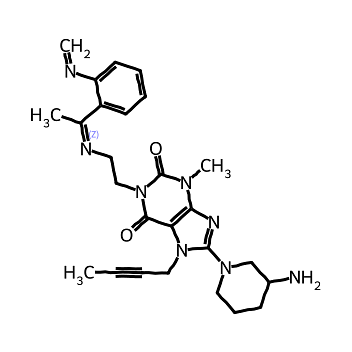 C=Nc1ccccc1/C(C)=N\CCn1c(=O)c2c(nc(N3CCCC(N)C3)n2CC#CC)n(C)c1=O